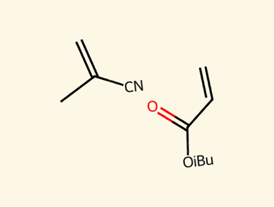 C=C(C)C#N.C=CC(=O)OCC(C)C